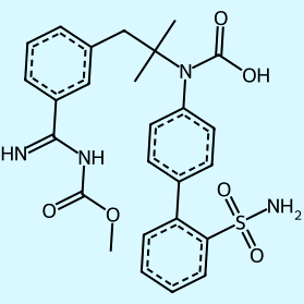 COC(=O)NC(=N)c1cccc(CC(C)(C)N(C(=O)O)c2ccc(-c3ccccc3S(N)(=O)=O)cc2)c1